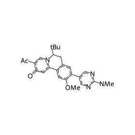 CNc1ncc(-c2cc3c(cc2OC)-c2cc(=O)c(C(C)=O)cn2C(C(C)(C)C)C3)cn1